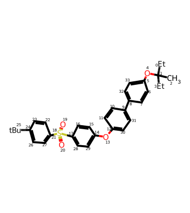 CCC(C)(CC)Oc1ccc(-c2ccc(Oc3ccc(S(=O)(=O)c4ccc(C(C)(C)C)cc4)cc3)cc2)cc1